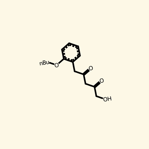 CCCCOc1ccccc1CC(=O)CC(=O)CO